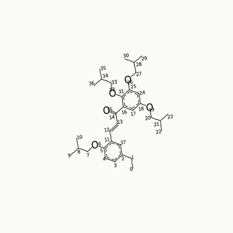 CCc1ccc(OCC(C)C)c(C=CC(=O)c2cc(OCC(C)C)cc(OCC(C)C)c2OCC(C)C)c1